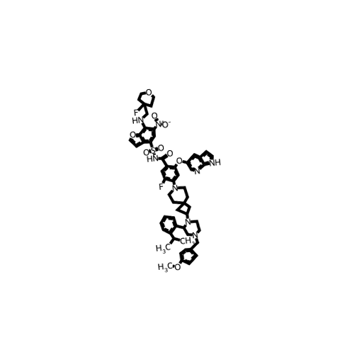 COc1ccc(CN2CCN(C3CC4(CCN(c5cc(Oc6cnc7[nH]ccc7c6)c(C(=O)NS(=O)(=O)c6cc([N+](=O)[O-])c(NCC7(F)CCOCC7)c7occc67)cc5F)CC4)C3)C(c3ccccc3C(C)C)C2)cc1